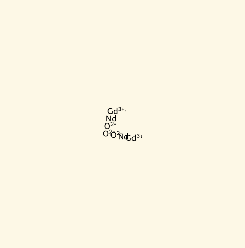 [Gd+3].[Gd+3].[Nd].[Nd].[O-2].[O-2].[O-2]